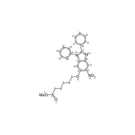 COC(=O)CCCCCOc1cc2c(cc1[N+](=O)[O-])nc(-c1ccccc1)n2-c1ccccc1